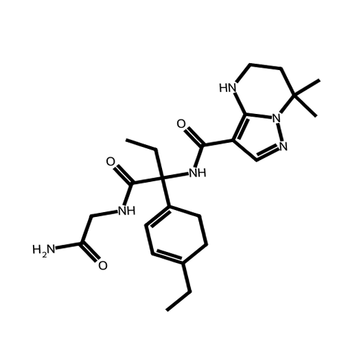 CCC1=CC=C(C(CC)(NC(=O)c2cnn3c2NCCC3(C)C)C(=O)NCC(N)=O)CC1